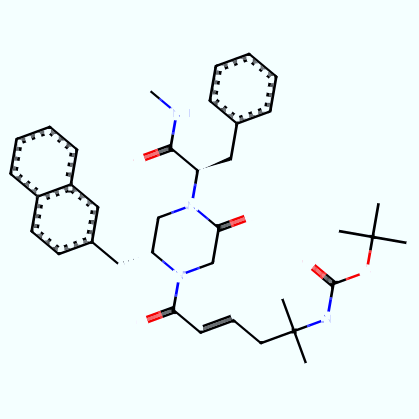 CNC(=O)[C@@H](Cc1ccccc1)N1C[C@@H](Cc2ccc3ccccc3c2)N(C(=O)/C=C/CC(C)(C)NC(=O)OC(C)(C)C)CC1=O